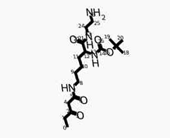 CCC(=O)CC(=O)NCCCCC(NC(=O)OC(C)(C)C)C(=O)NCCN